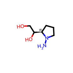 NN1CCC[C@@H]1C(O)CO